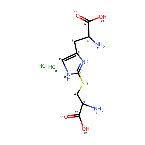 Cl.Cl.NC(CSc1nc(CC(N)C(=O)O)c[nH]1)C(=O)O